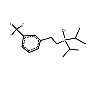 CC(C)[Si](O)(CCc1cccc(C(F)(F)F)c1)C(C)C